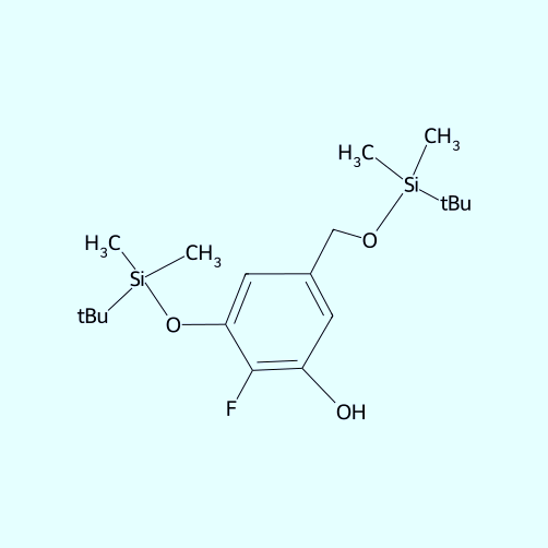 CC(C)(C)[Si](C)(C)OCc1cc(O)c(F)c(O[Si](C)(C)C(C)(C)C)c1